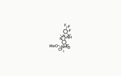 COCC(Nc1cc2nc(C)nc(N[C@H](C)c3cccc(C(F)F)c3F)c2cc1P(C)(C)=O)C(F)(F)F